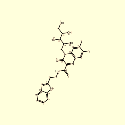 Cc1cc2nc(C(=O)NCCc3cc4ccccc4[nH]3)c(=O)n(CC(O)C(O)C(O)CO)c2cc1C